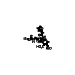 CC(=O)OCC1=C(C(=O)O)N2C(=O)[C@](NC(=O)Cc3ccco3)(OC(=O)CNC(=O)OC(C)(C)C)[C@H]2SC1